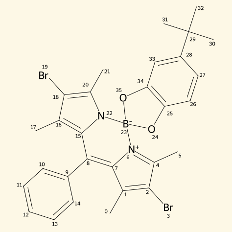 CC1=C(Br)C(C)=[N+]2C1=C(c1ccccc1)c1c(C)c(Br)c(C)n1[B-]21Oc2ccc(C(C)(C)C)cc2O1